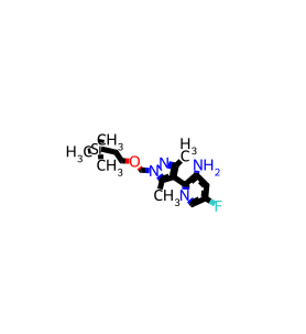 Cc1nn(COCC[Si](C)(C)C)c(C)c1-c1ncc(F)cc1N